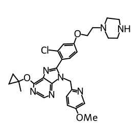 COc1ccc(Cn2c(-c3ccc(OCCN4CCNCC4)cc3Cl)nc3c(OC4(C)CC4)ncnc32)nc1